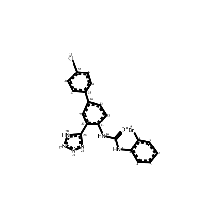 O=C(Nc1ccccc1Br)Nc1ccc(-c2ccc(Cl)cc2)cc1-c1nnn[nH]1